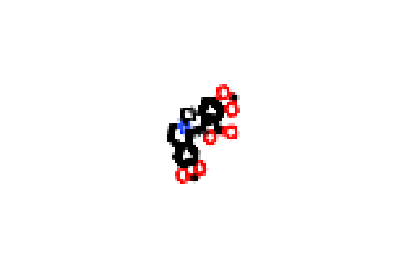 CN1CCc2cc3c(cc2[C@@H]1[C@H]1OC(=O)c2c1ccc1c2OCO1)OCO3